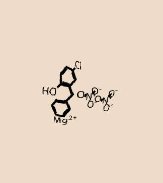 O=[N+]([O-])[O-].O=[N+]([O-])[O-].Oc1ccc(Cl)cc1Cc1ccccc1.[Mg+2]